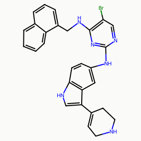 Brc1cnc(Nc2ccc3[nH]cc(C4=CCNCC4)c3c2)nc1NCc1cccc2ccccc12